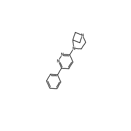 c1ccc(-c2ccc(N3CCN4CC3C4)nn2)cc1